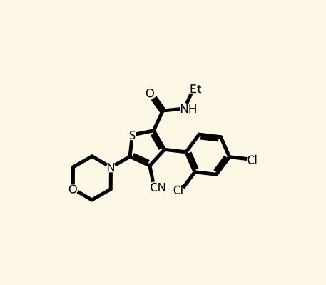 CCNC(=O)c1sc(N2CCOCC2)c(C#N)c1-c1ccc(Cl)cc1Cl